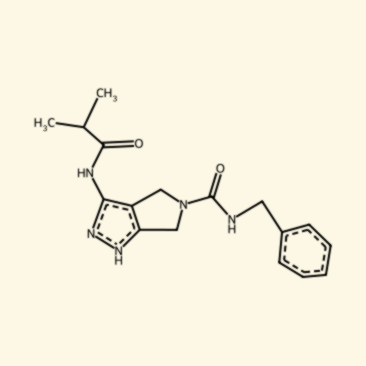 CC(C)C(=O)Nc1n[nH]c2c1CN(C(=O)NCc1ccccc1)C2